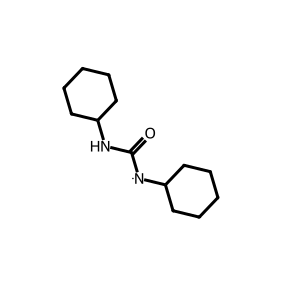 O=C([N]C1CCCCC1)NC1CCCCC1